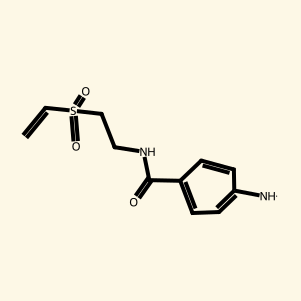 C=CS(=O)(=O)CCNC(=O)c1ccc([NH])cc1